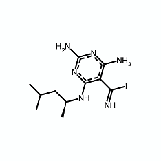 CC(C)C[C@H](C)Nc1nc(N)nc(N)c1C(=N)I